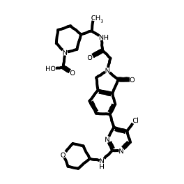 CC(NC(=O)CN1Cc2ccc(-c3nc(NC4CCOCC4)ncc3Cl)cc2C1=O)C1CCCN(C(=O)O)C1